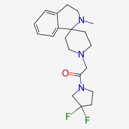 CN1CCc2ccccc2C12CCN(CC(=O)N1CCC(F)(F)C1)CC2